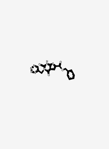 O=C(OCc1ccccc1)c1cc2c(=O)n(Cc3cnnnn3)c(=O)[nH]c2s1